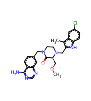 COC[C@H]1C(=O)N(Cc2ccc3c(N)ncnc3c2)CCN1Cc1[nH]c2ccc(Cl)cc2c1C